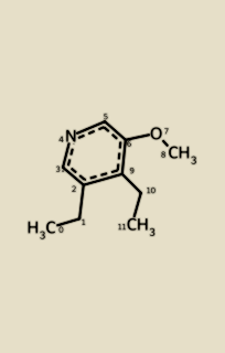 CCc1[c]ncc(OC)c1CC